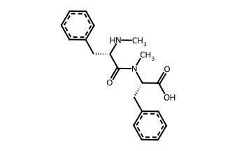 CN[C@@H](Cc1ccccc1)C(=O)N(C)[C@@H](Cc1ccccc1)C(=O)O